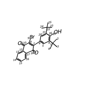 CC(C)(C)c1cc(C2=C(Br)C(=O)c3ccccc3C2=O)cc(C(C)(C)C)c1O